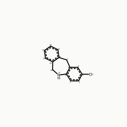 Clc1ccc2c(c1)Cc1ccccc1CN2